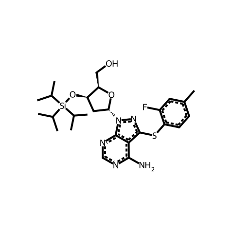 Cc1ccc(Sc2nn([C@@H]3C[C@@H](O[Si](C(C)C)(C(C)C)C(C)C)[C@@H](CO)O3)c3ncnc(N)c23)c(F)c1